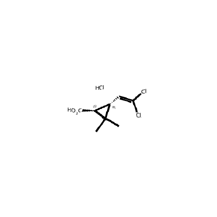 CC1(C)[C@@H](C=C(Cl)Cl)[C@@H]1C(=O)O.Cl